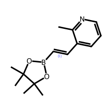 Cc1ncccc1/C=C/B1OC(C)(C)C(C)(C)O1